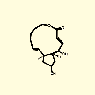 O=C1/C=C/[C@@H](O)[C@@H]2C[C@@H](O)C[C@H]2/C=C/CCCCO1